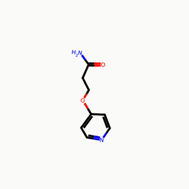 NC(=O)CCOc1ccncc1